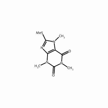 CSc1nc2c(c(=O)n(C)c(=O)n2C)n1C